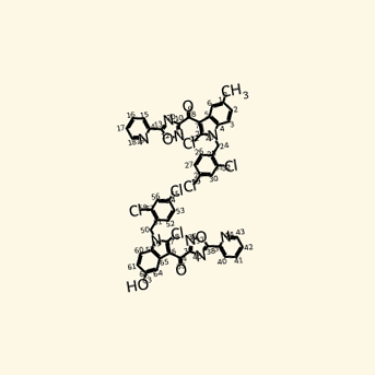 Cc1ccc2c(c1)c(C(=O)c1noc(-c3ccccn3)n1)c(Cl)n2Cc1ccc(Cl)cc1Cl.O=C(c1noc(-c2ccccn2)n1)c1c(Cl)n(Cc2ccc(Cl)cc2Cl)c2ccc(O)cc12